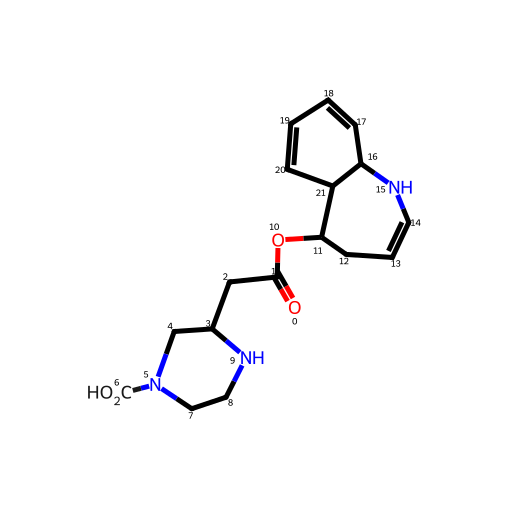 O=C(CC1CN(C(=O)O)CCN1)OC1CC=CNC2C=CC=CC21